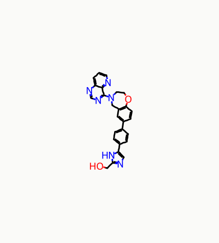 OCc1ncc(-c2ccc(-c3ccc4c(c3)CN(c3ncnc5cccnc35)CCO4)cc2)[nH]1